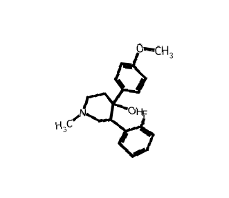 COc1ccc(C2(O)CCN(C)CC2c2ccccc2F)cc1